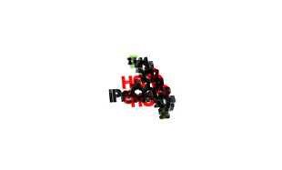 CC(C)Oc1ccc(C(c2c(O)c3cc(F)ccc3oc2=O)c2c(O)c3cc(F)ccc3oc2=O)cc1